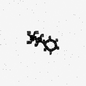 C[Si](C)(c1ccccc1)[Sn]([CH3])([CH3])[CH3]